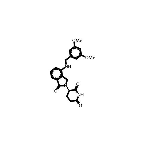 COc1cc(CNc2cccc3c2CN([C@@H]2CCC(=O)NC2=O)C3=O)cc(OC)c1